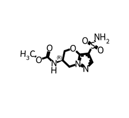 COC(=O)N[C@H]1COc2c(S(N)(=O)=O)cnn2C1